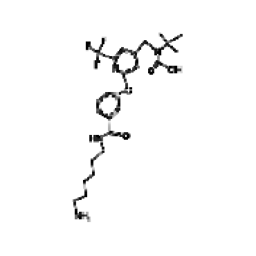 CC(C)(C)N(Cc1cc(Oc2cccc(C(=O)NCCCCCCN)c2)nc(C(F)(F)F)c1)C(=O)O